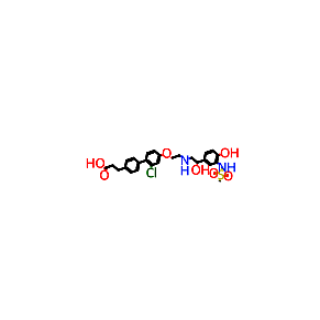 CS(=O)(=O)Nc1cc([C@H](O)CNCCOc2ccc(-c3ccc(CCC(=O)O)cc3)c(Cl)c2)ccc1O